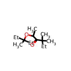 CCC(C)(CC)OC(C)C(=O)C(C)(C)CC